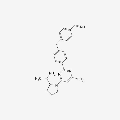 C=C(N)C1CCCN1c1cc(C)nc(-c2ccc(Cc3ccc(C=N)cc3)cc2)n1